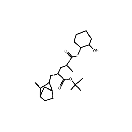 CC(CC(CC1C2CCC(C2)C1C)C(=O)OC(C)(C)C)C(=O)OC1CCCCC1O